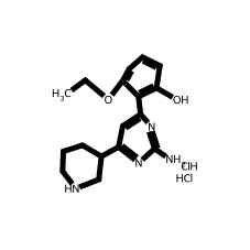 CCOc1cccc(O)c1-c1cc(C2CCCNC2)nc(N)n1.Cl.Cl